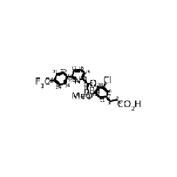 CCCCC(Oc1c(Cl)cc(CCC(=O)O)cc1OC)c1cccc(-c2ccc(C(F)(F)F)cc2)n1